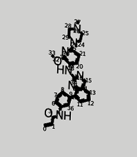 C=CC(=O)Nc1cccc(-c2cccc3cnc(Nc4ccc(N5CCN(C)CC5)nc4OC)nc23)c1